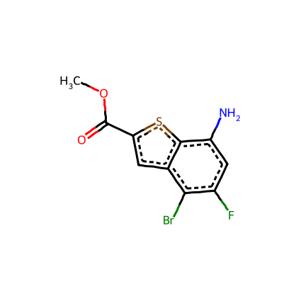 COC(=O)c1cc2c(Br)c(F)cc(N)c2s1